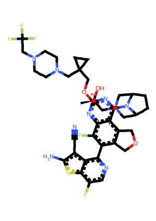 C[C@@H](O)CN1CC2CCC(C1)N2c1nc(OCC2(CN3CCN(CC(F)(F)F)CC3)CC2)nc2c(F)c(-c3ncc(F)c4sc(N)c(C#N)c34)c3c(c12)COC3